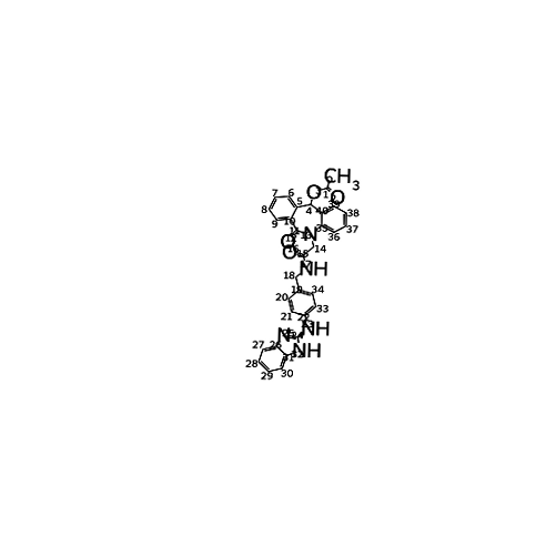 CC(=O)OC1c2ccccc2C(=O)N(CC(=O)NCc2ccc(Nc3nc4ccccc4[nH]3)cc2)c2ccccc21